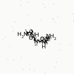 CCC(C)(CC(C)(C)N)NC(=O)CCN(C)CCC(=O)NC(C)(C)CC(C)(C)N